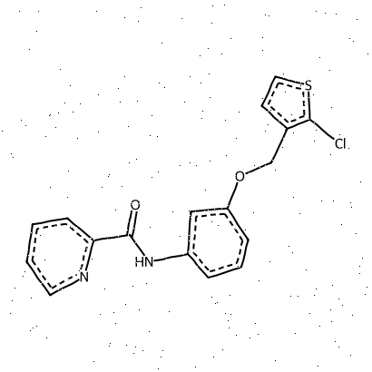 O=C(Nc1cccc(OCc2ccsc2Cl)c1)c1ccccn1